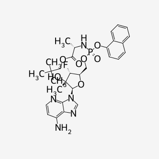 C[C@H](NP(=O)(OC[C@H]1O[C@@H](n2cnc3c(N)ccnc32)[C@](C)(O)[C@@H]1F)Oc1cccc2ccccc12)C(=O)OCC(C)(C)C